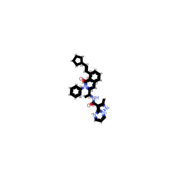 Cc1nn2cccnc2c1C(=O)NC(C)c1cc2cccc(/C=C/C3CCCC3)c2c(=O)n1-c1ccccc1